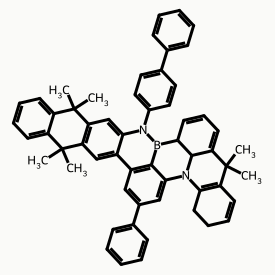 CC1(C)C2=CC=CC3B4c5c(cc(-c6ccccc6)cc5N(C5=C1C=CCC5)C23)-c1cc2c(cc1N4c1ccc(-c3ccccc3)cc1)C(C)(C)c1ccccc1C2(C)C